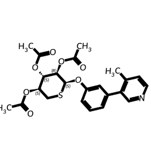 CC(=O)O[C@@H]1[C@@H](OC(C)=O)[C@@H](Oc2cccc(-c3cnccc3C)c2)SC[C@H]1OC(C)=O